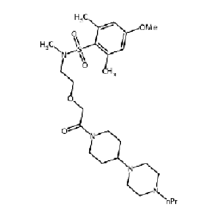 CCCN1CCN(C2CCN(C(=O)COCCN(C)S(=O)(=O)c3c(C)cc(OC)cc3C)CC2)CC1